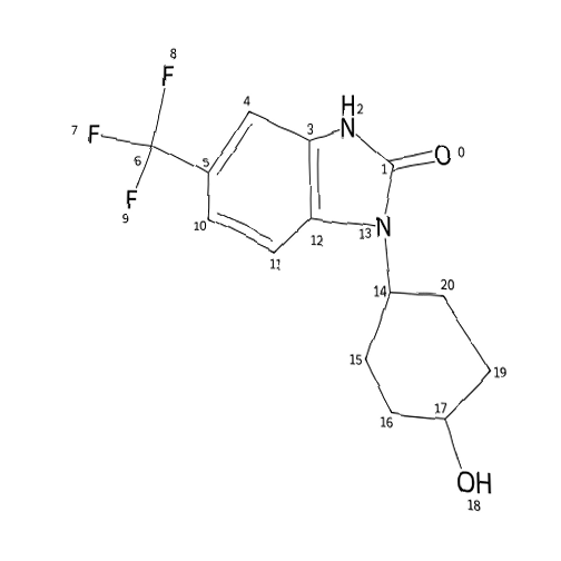 O=c1[nH]c2cc(C(F)(F)F)ccc2n1C1CCC(O)CC1